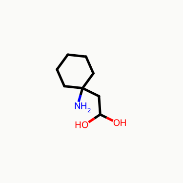 NC1(CC(O)O)CCCCC1